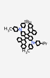 Cc1ccc(N(c2ccc(C(C)C)cc2)c2ccc3c(-c4cc5ccccc5c5ccccc45)c4cc(N(c5ccc(C)cc5)c5ccc(C(C)(C)C)cc5)ccc4c(-c4cc5ccccc5c5ccccc45)c3c2)cc1